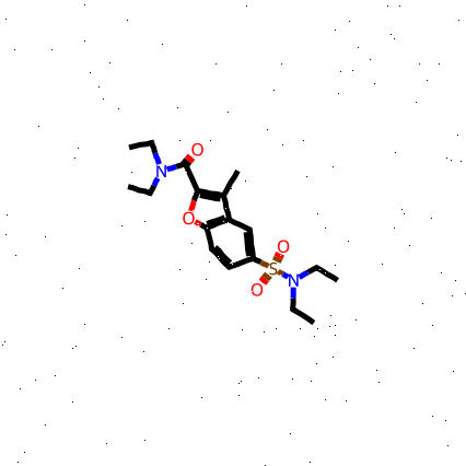 CCN(CC)C(=O)c1oc2ccc(S(=O)(=O)N(CC)CC)cc2c1C